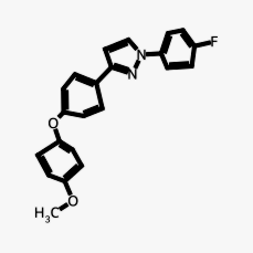 COc1ccc(Oc2ccc(-c3ccn(-c4ccc(F)cc4)n3)cc2)cc1